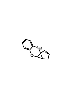 C1=C[C@@]23Nc4ccccc4OC2C3C1